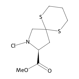 COC(=O)[C@@H]1CC2(CN1Cl)SCCCS2